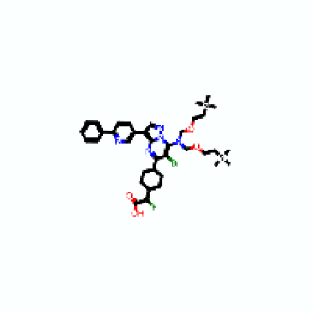 C[Si](C)(C)CCOCN(COCC[Si](C)(C)C)c1c(Br)c(C2CCC(C(F)C(=O)O)CC2)nc2c(-c3ccc(-c4ccccc4)nc3)cnn12